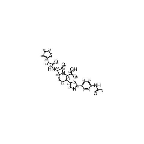 CC(=O)Nc1ccc(-c2ncc(C3=C(C(=O)O)N4C(=O)C(NC(=O)Cc5cccs5)C4SC3)s2)cc1